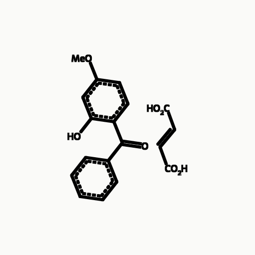 COc1ccc(C(=O)c2ccccc2)c(O)c1.O=C(O)/C=C/C(=O)O